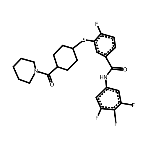 O=C(Nc1cc(F)c(F)c(F)c1)c1ccc(F)c(SC2CCC(C(=O)N3CCCCC3)CC2)c1